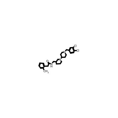 Cc1ccccc1CC(=O)NCC1CCCN(C2CCN(Cc3ccc(Cl)c(Cl)c3)CC2)C1